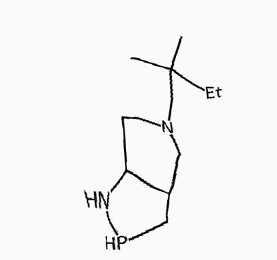 CCC(C)(C)N1CC2CPNC2C1